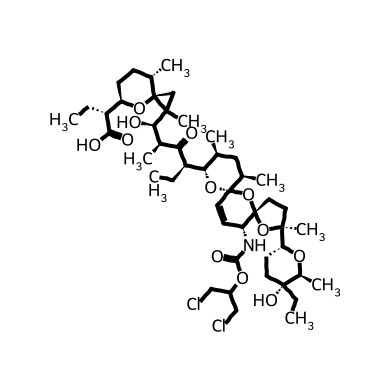 CC[C@@H](C(=O)[C@@H](C)[C@@H](O)C1(C)C[C@]12O[C@@H]([C@@H](CC)C(=O)O)CC[C@@H]2C)[C@H]1O[C@]2(C=C[C@@H](NC(=O)OC(CCl)CCl)[C@]3(CC[C@@](C)([C@H]4CC[C@](O)(CC)[C@H](C)O4)O3)O2)[C@H](C)C[C@@H]1C